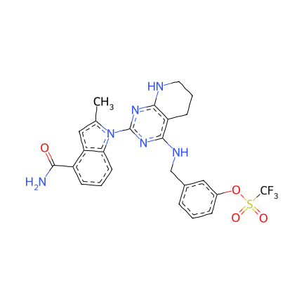 Cc1cc2c(C(N)=O)cccc2n1-c1nc2c(c(NCc3cccc(OS(=O)(=O)C(F)(F)F)c3)n1)CCCN2